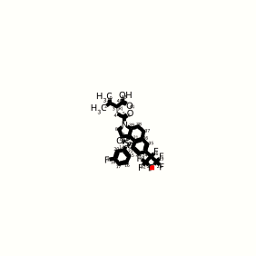 CC(C)[C@@H](CC(=O)N1CCC2(S(=O)(=O)c3cccc(F)c3)c3ccc(C(F)(C(F)(F)F)C(F)(F)F)cc3CCC12)C(=O)O